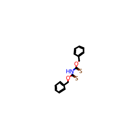 S=C(NC(=S)OCc1ccccc1)OCc1ccccc1